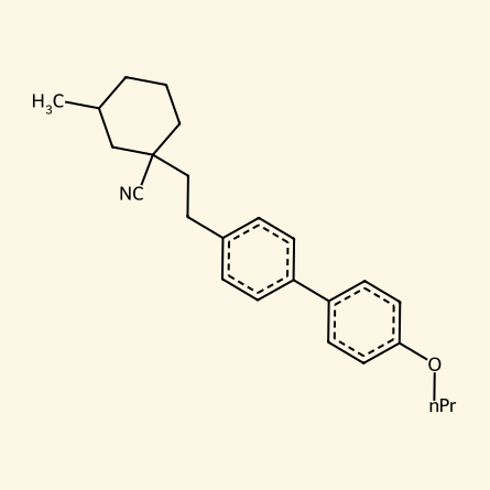 CCCOc1ccc(-c2ccc(CCC3(C#N)CCCC(C)C3)cc2)cc1